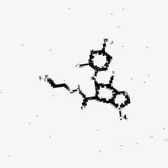 Bc1ccc(Nc2c(C(=O)NOCC=C)cc3c(ncn3C)c2F)c(Cl)c1